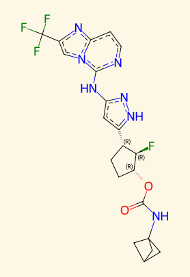 O=C(NC12CC(C1)C2)O[C@@H]1CC[C@H](c2cc(Nc3nccc4nc(C(F)(F)F)cn34)n[nH]2)[C@H]1F